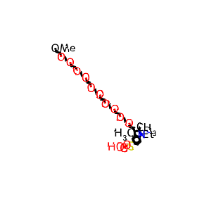 CC[N+]1=C(C)C(C)(CCOCCOCCOCCOCCOCCOCCOCCOCCOCCOCCOC)c2cc(SOOO)ccc21